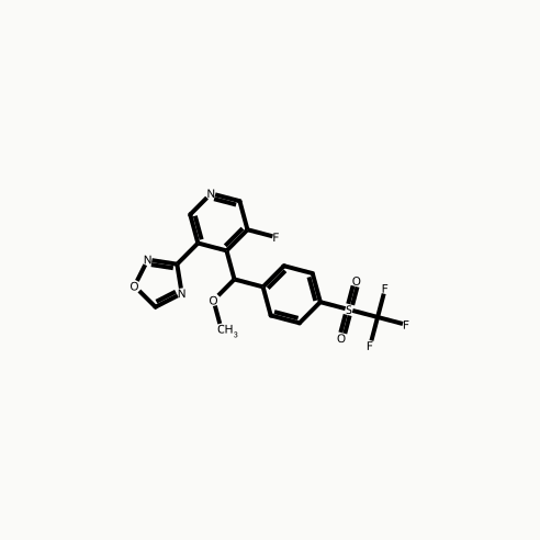 COC(c1ccc(S(=O)(=O)C(F)(F)F)cc1)c1c(F)cncc1-c1ncon1